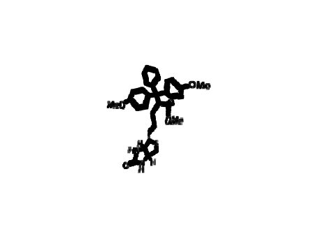 COC(=O)C(CCC[C@@H]1SC[C@@H]2NC(=O)N[C@@H]21)C(c1ccccc1)(c1ccc(OC)cc1)c1ccc(OC)cc1